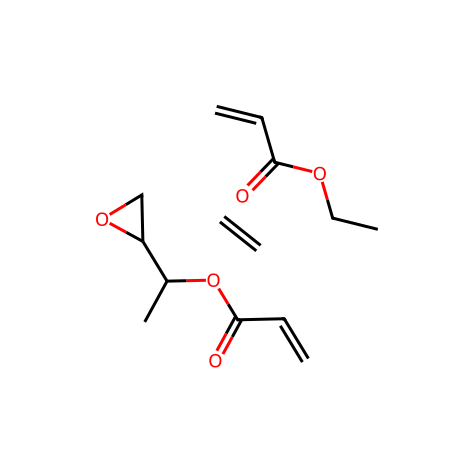 C=C.C=CC(=O)OC(C)C1CO1.C=CC(=O)OCC